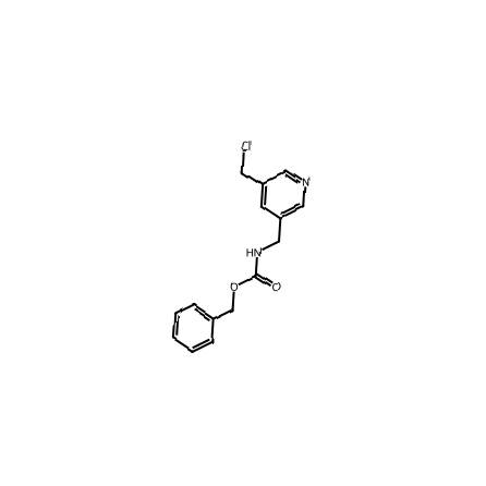 O=C(NCc1cncc(CCl)c1)OCc1ccccc1